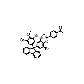 COc1c(Br)cc(C2(c3cc(Br)c(OC(=O)c4ccc(C(C)=O)cc4)c(Br)c3)c3ccccc3-c3ccccc32)cc1Br